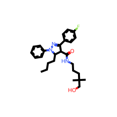 CCCCC1C(C(=O)NCCCC(C)(C)CO)C(c2ccc(F)cc2)=NN1c1ccccc1